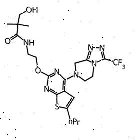 CCCc1cc2c(N3CCn4c(nnc4C(F)(F)F)C3)nc(OCCNC(=O)C(C)(C)CO)nc2s1